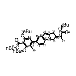 CCCCOC(=O)c1c(OCCCC)nc(-c2ccc3c(c2)cc2n3CC(N(C)C(=O)OC(C)(C)C)C2)c(C)c1OCCCC